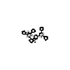 c1ccc(-c2cc(-c3ccc4c(c3)sc3cccc(-c5nc(-c6ccccc6)c6oc7ccccc7c6n5)c34)nc(-c3ccccc3)n2)cc1